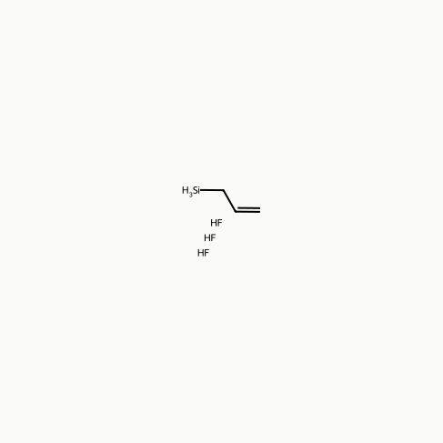 C=CC[SiH3].F.F.F